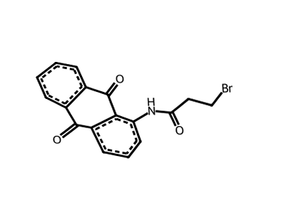 O=C(CCBr)Nc1cccc2c1C(=O)c1ccccc1C2=O